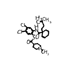 CC(C)CCC1(C(=O)Nc2cc(Cl)c(Cl)cc2SC(=O)C2CCN(C)CC2)CCCCC1